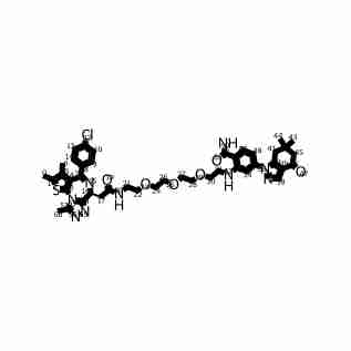 Cc1sc2c(c1C)C(c1ccc(Cl)cc1)=N[C@@H](CC(=O)NCCOCCOCCOCCNc1cc(-n3ncc4c3CC(C)(C)CC4=O)ccc1C(N)=O)c1nnc(C)n1-2